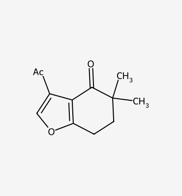 CC(=O)c1coc2c1C(=O)C(C)(C)CC2